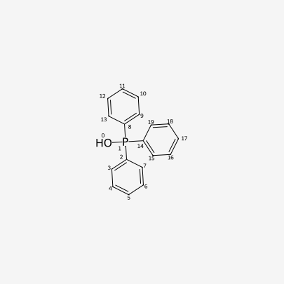 O[P](c1ccccc1)(c1ccccc1)c1ccccc1